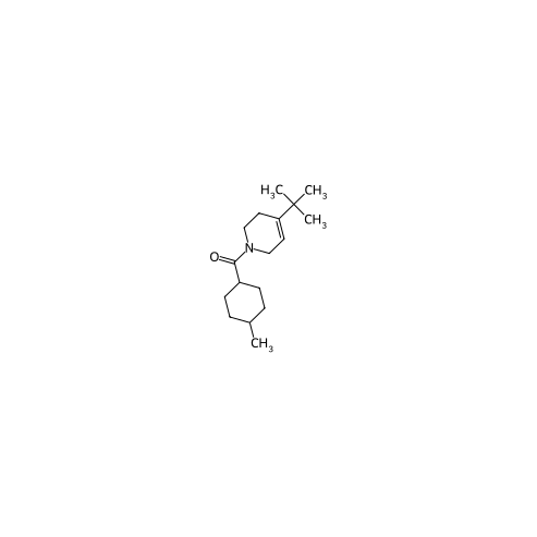 CC1CCC(C(=O)N2CC=C(C(C)(C)C)CC2)CC1